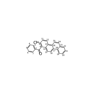 O=C(c1ccccc1)c1c(Cl)ccc2c1ccc1c3ccccc3ccc21